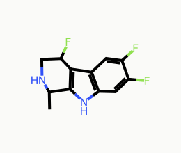 CC1NCC(F)c2c1[nH]c1cc(F)c(F)cc21